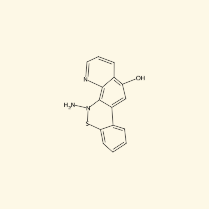 NN1Sc2ccccc2-c2cc(O)c3cccnc3c21